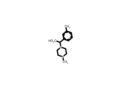 Cc1cccc(C(C(=O)O)N2CCN(C)CC2)c1